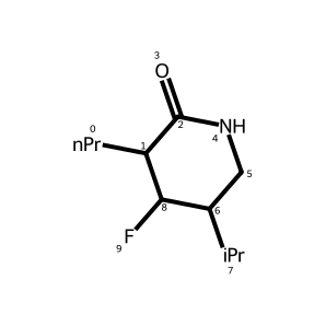 CCCC1C(=O)NCC(C(C)C)C1F